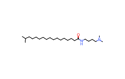 CC(C)CCCCCCCCCCCCCCC(=O)NCCCCN(C)C